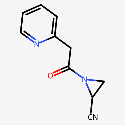 N#CC1CN1C(=O)Cc1ccccn1